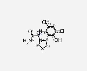 NC(=O)/C(=N/c1cc(O)c(Cl)cc1Cl)N1CCCC1